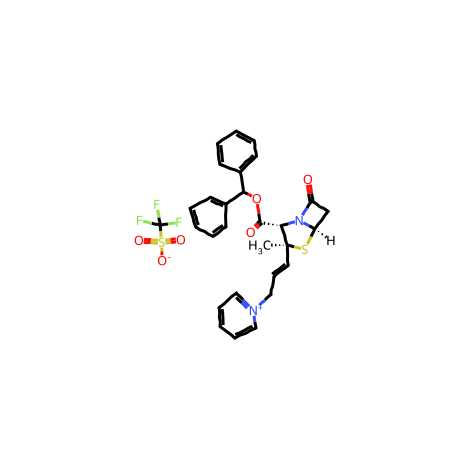 C[C@@]1(C=CC[n+]2ccccc2)S[C@@H]2CC(=O)N2[C@H]1C(=O)OC(c1ccccc1)c1ccccc1.O=S(=O)([O-])C(F)(F)F